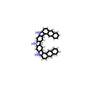 c1ccc2cc3c(ccc4[nH]c5cc6[nH]c7cc8[nH]c9ccc%10cc%11ccccc%11cc%10c9c8cc7c6cc5c43)cc2c1